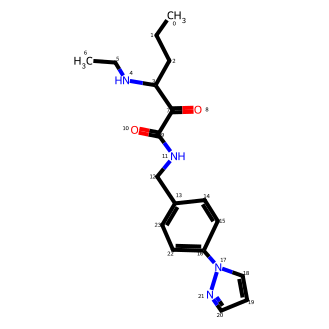 CCCC(NCC)C(=O)C(=O)NCc1ccc(-n2cccn2)cc1